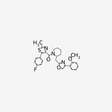 COc1ccccc1-c1coc(CC2CCCCN2C(=O)c2nc(C)sc2-c2ccc(F)cc2)n1